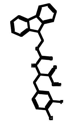 COC(=O)C(Cc1ccc(Cl)c(F)c1)NC(=O)OCC1c2ccccc2-c2ccccc21